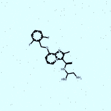 C=C(NC(CN)CCCC)c1c(C)nc2c(OCc3c(F)cccc3F)cccn12